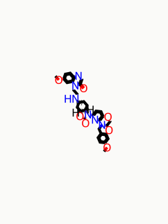 COc1ccc(CN2C(=O)COc3ccc(N4C(=O)O[C@@H]5C[C@@H](NCCn6c(=O)cnc7ccc(OC)cc76)CC[C@@H]54)nc32)cc1